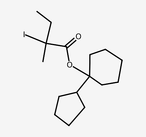 CCC(C)(I)C(=O)OC1(C2CCCC2)CCCCC1